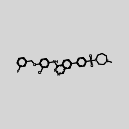 CN1CCCN(S(=O)(=O)c2ccc(-c3ccc4c(Nc5ccc(OCc6cccc(F)c6)c(Cl)c5)nncc4c3)cc2)CC1